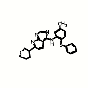 Cc1ccc(Sc2ccccc2)c(Nc2ncnc3nc(C4CCCCC4)ccc23)c1